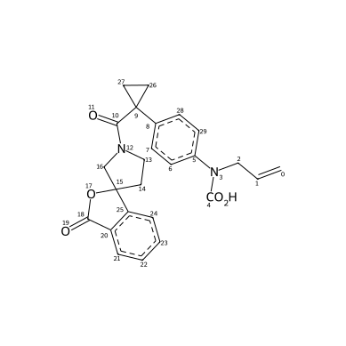 C=CCN(C(=O)O)c1ccc(C2(C(=O)N3CCC4(C3)OC(=O)c3ccccc34)CC2)cc1